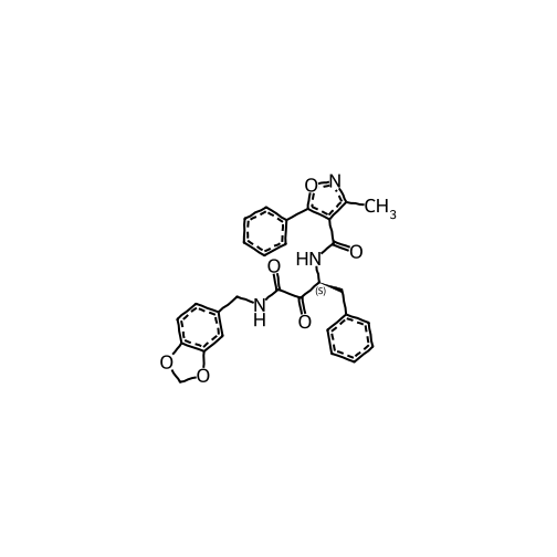 Cc1noc(-c2ccccc2)c1C(=O)N[C@@H](Cc1ccccc1)C(=O)C(=O)NCc1ccc2c(c1)OCO2